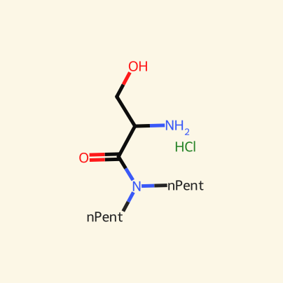 CCCCCN(CCCCC)C(=O)C(N)CO.Cl